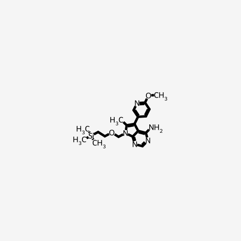 COc1ccc(-c2c(C)n(COCC[Si](C)(C)C)c3ncnc(N)c23)cn1